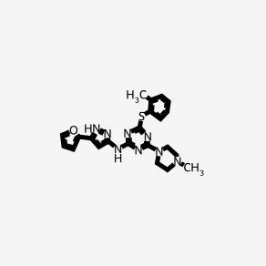 Cc1ccccc1Sc1nc(Nc2cc(-c3ccco3)[nH]n2)nc(N2CCN(C)CC2)n1